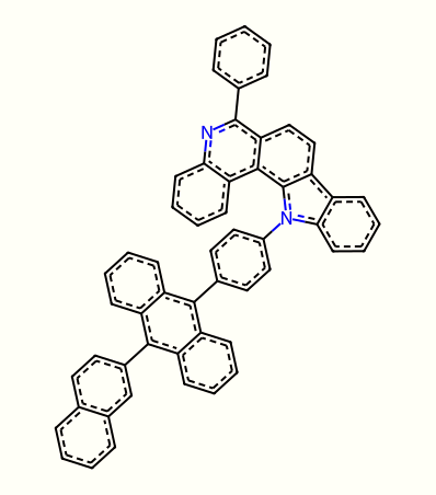 c1ccc(-c2nc3ccccc3c3c2ccc2c4ccccc4n(-c4ccc(-c5c6ccccc6c(-c6ccc7ccccc7c6)c6ccccc56)cc4)c23)cc1